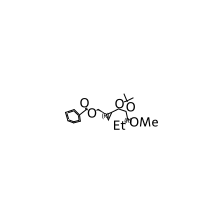 CC[C@@H](OC)C1OC(C)(C)OC1C1C[C@H]1COC(=O)c1ccccc1